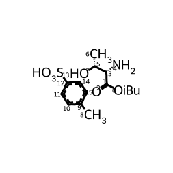 CC(C)COC(=O)[C@@H](N)[C@@H](C)O.Cc1ccc(S(=O)(=O)O)cc1